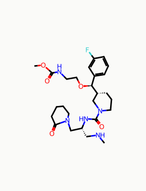 CNC[C@H](CN1CCCCC1=O)NC(=O)N1CCC[C@@H]([C@@H](OCCNC(=O)OC)c2cccc(F)c2)C1